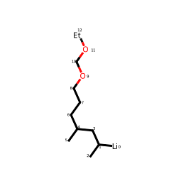 [Li][CH](C)CC(C)CCCOCOCC